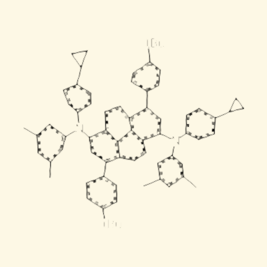 Cc1cc(C)cc(N(c2ccc(C3CC3)cc2)c2cc(-c3ccc(C(C)(C)C)cc3)c3ccc4c(N(c5ccc(C6CC6)cc5)c5cc(C)cc(C)c5)cc(-c5ccc(C(C)(C)C)cc5)c5ccc2c3c54)c1